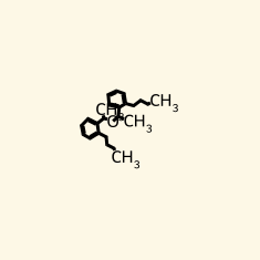 CCCCc1ccccc1C(C)OC(C)c1ccccc1CCCC